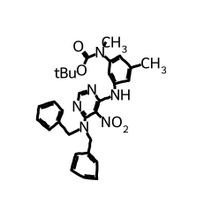 Cc1cc(Nc2ncnc(N(Cc3ccccc3)Cc3ccccc3)c2[N+](=O)[O-])cc(N(C)C(=O)OC(C)(C)C)c1